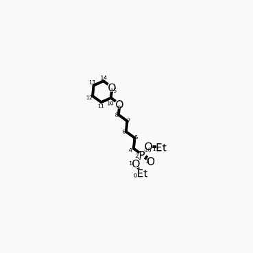 CCOP(=O)(CCCCCOC1CCCCO1)OCC